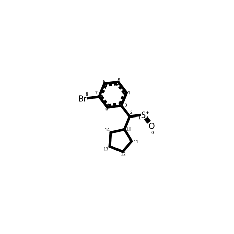 O=[S+]C(c1cccc(Br)c1)C1CCCC1